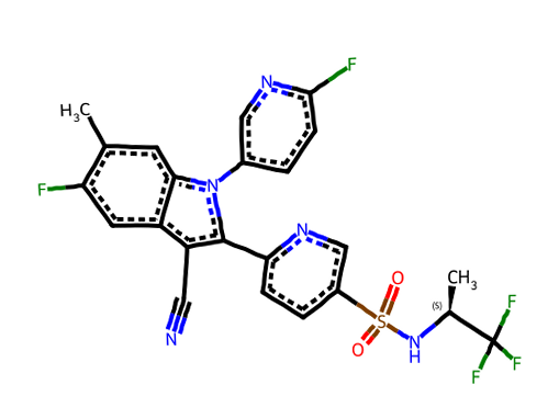 Cc1cc2c(cc1F)c(C#N)c(-c1ccc(S(=O)(=O)N[C@@H](C)C(F)(F)F)cn1)n2-c1ccc(F)nc1